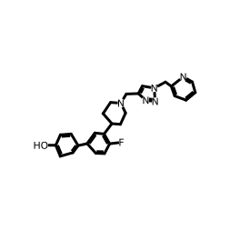 Oc1ccc(-c2ccc(F)c(C3CCN(Cc4cn(Cc5ccccn5)nn4)CC3)c2)cc1